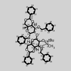 CC(C)(C)[Si](C)(C)O[C@@H]1[C@H](O[C@H]2[C@@H](OCc3ccccc3)[C@@H]3OC(c4ccccc4)OC[C@H]3O[C@@H]2Sc2ccccc2)O[C@@H]2COC(c3ccccc3)O[C@H]2[C@@H]1OCc1ccccc1